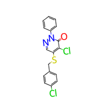 O=c1c(Cl)c(SCc2ccc(Cl)cc2)cnn1-c1ccccc1